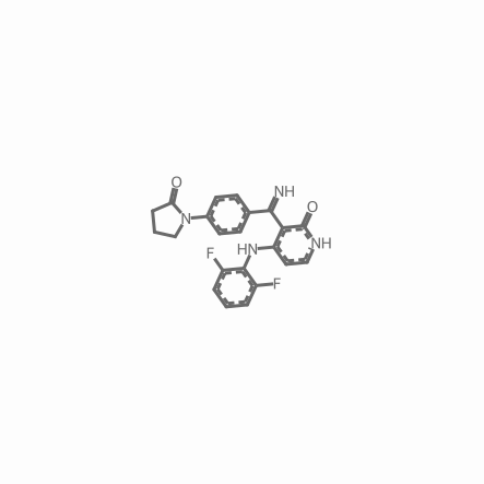 N=C(c1ccc(N2CCCC2=O)cc1)c1c(Nc2c(F)cccc2F)cc[nH]c1=O